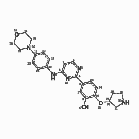 N#Cc1cc(-c2nccc(Nc3ccc(N4CCOCC4)cc3)n2)ccc1O[C@@H]1CCNC1